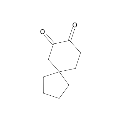 O=C1CCC2(CCCC2)CC1=O